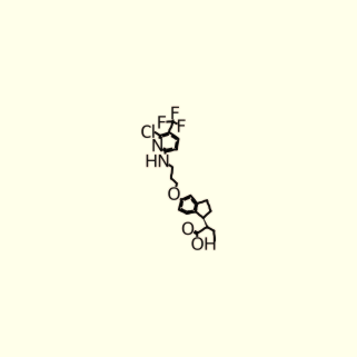 CCC(C(=O)O)[C@@H]1CCc2cc(OCCCNc3ccc(C(F)(F)F)c(Cl)n3)ccc21